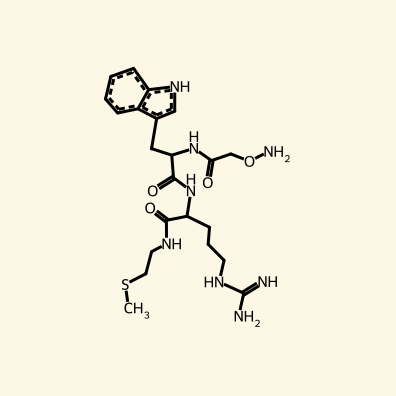 CSCCNC(=O)C(CCCNC(=N)N)NC(=O)C(Cc1c[nH]c2ccccc12)NC(=O)CON